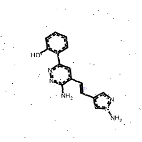 Nc1nnc(-c2ccccc2O)cc1/C=C/c1cnn(N)c1